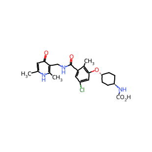 Cc1cc(=O)c(CNC(=O)c2cc(Cl)cc(O[C@H]3CC[C@H](NC(=O)O)CC3)c2C)c(C)[nH]1